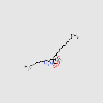 CCCCCCCCCCCC(=O)CC(C)(CCCCCCCCCC)[C@H](N)C(=O)O